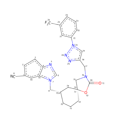 N#Cc1ccc2ncn(C[C@H]3CCC[C@]4(C3)CN(Cc3cn(-c5cccc(C(F)(F)F)c5)nn3)C(=O)O4)c2c1